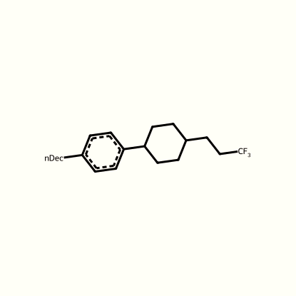 CCCCCCCCCCc1ccc(C2CCC(CCC(F)(F)F)CC2)cc1